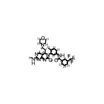 CNc1ncc2c(CCN3CCOCC3)n(-c3cc(NC(=O)c4cccc(C(F)(F)F)c4)ccc3C)c(=O)nc2n1